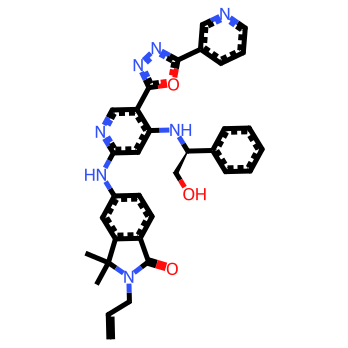 C=CCN1C(=O)c2ccc(Nc3cc(N[C@H](CO)c4ccccc4)c(-c4nnc(-c5cccnc5)o4)cn3)cc2C1(C)C